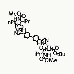 CCCN(Cc1ncc(-c2ccc(-c3ccc(-c4cnc([C@@H]5CN(C(=O)OC(C)(C)C)CN5C(=O)[C@@H](NC(=O)OC)C(C)C)[nH]4)cc3)cc2)[nH]1)C(=O)[C@@H](NC(=O)OC)C(C)C